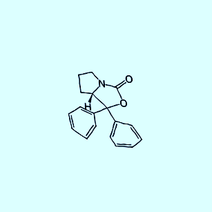 O=C1OC(c2ccccc2)(c2ccccc2)[C@@H]2CCCN12